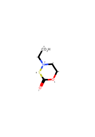 O=C(O)CN1CCOC(=O)S1